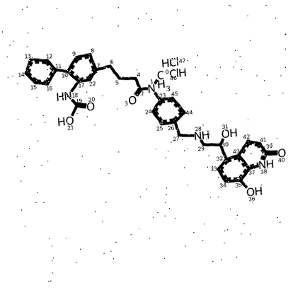 CN(C(=O)CCCc1ccc(-c2ccccc2)c(NC(=O)O)c1)c1ccc(CNCC(O)c2ccc(O)c3[nH]c(=O)ccc23)cc1.Cl.Cl